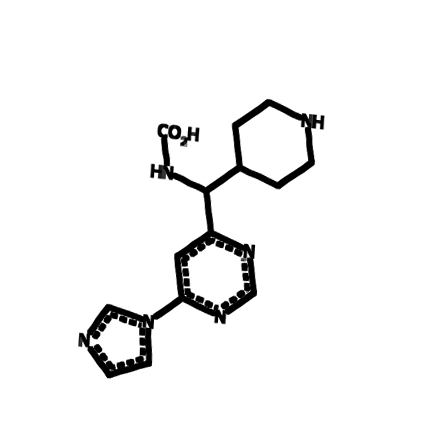 O=C(O)NC(c1cc(-n2ccnc2)ncn1)C1CCNCC1